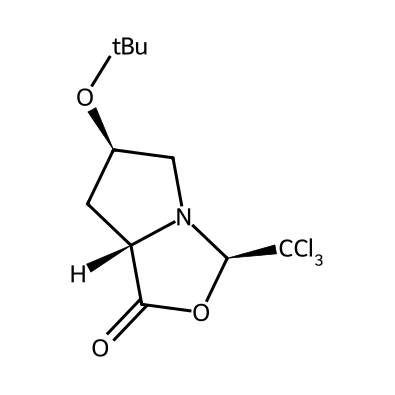 CC(C)(C)O[C@@H]1C[C@H]2C(=O)O[C@H](C(Cl)(Cl)Cl)N2C1